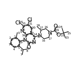 Cc1cccc(C(C)C)c1-n1c(=O)nc(N2CCN(C(=O)OC(C)(C)C)CC2C)c2cc(Cl)c(Cl)nc21